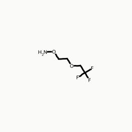 NOCCOCC(F)(F)F